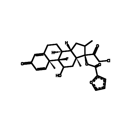 CC1C[C@H]2[C@@H]3CCC4=CC(=O)C=C[C@]4(C)[C@@]3(F)C(O)C[C@]2(C)[C@@]1(OC(=O)c1ccco1)C(=O)CCl